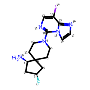 N[C@@H]1C[C@H](F)CC12CCN(c1ncc(I)c3nccn13)CC2